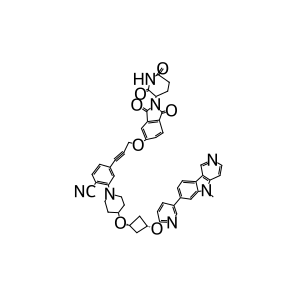 Cn1c2ccncc2c2ccc(-c3ccc(O[C@H]4C[C@H](OC5CCN(c6cc(C#CCOc7ccc8c(c7)C(=O)N(C7CCC(=O)NC7=O)C8=O)ccc6C#N)CC5)C4)nc3)cc21